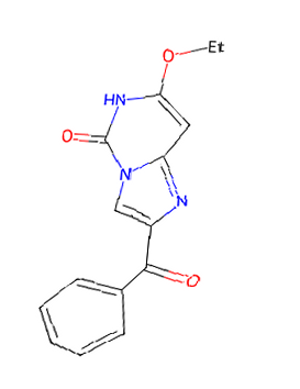 CCOc1cc2nc(C(=O)c3ccccc3)cn2c(=O)[nH]1